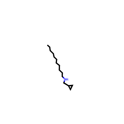 CCCCCCCCCCCNCC1CC1